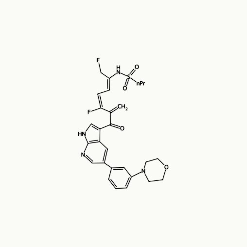 C=C(C(=O)c1c[nH]c2ncc(-c3cccc(N4CCOCC4)c3)cc12)/C(F)=C\C=C(/CF)NS(=O)(=O)CCC